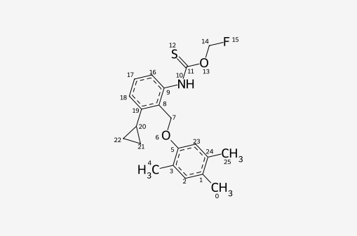 Cc1cc(C)c(OCc2c(NC(=S)OCF)cccc2C2CC2)cc1C